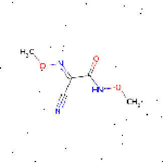 [CH2]ONC(=O)/C(C#N)=N/OC